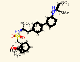 CS/C(=C\[N+](=O)[O-])Nc1cccc(-c2ccc(C[C@H](NS(=O)(=O)C[C@]34CCC(CC3=O)C4(C)C)C(=O)O)cc2)c1